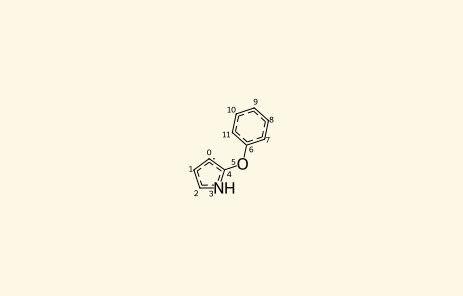 [c]1cc[nH]c1Oc1ccccc1